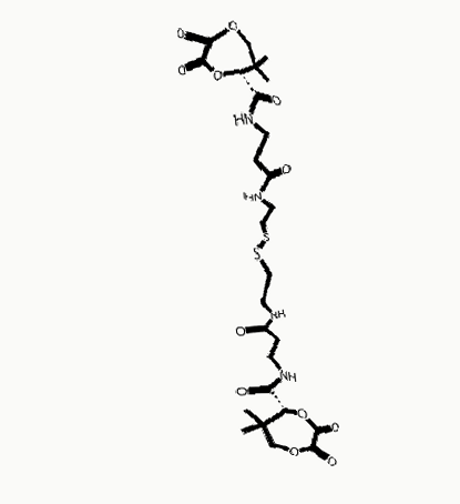 CC1(C)COC(=O)C(=O)O[C@H]1C(=O)NCCC(=O)NCCSSCCNC(=O)CCNC(=O)[C@@H]1OC(=O)C(=O)OCC1(C)C